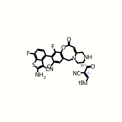 CC(C)(C)/C=C(\C#N)C(=O)[C@@H]1CN2Cc3cc(Cl)c(-c4ccc(F)c5sc(N)c(C#N)c45)c(F)c3OC(=O)C=C2CN1